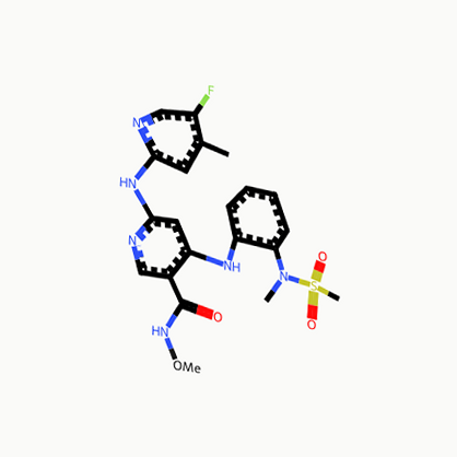 CONC(=O)c1cnc(Nc2cc(C)c(F)cn2)cc1Nc1ccccc1N(C)S(C)(=O)=O